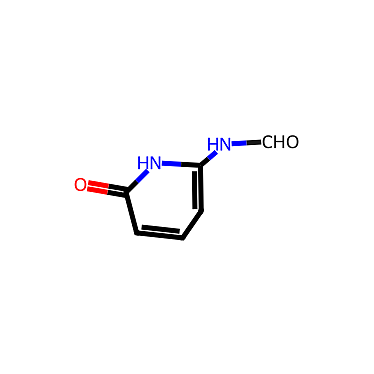 O=CNc1cccc(=O)[nH]1